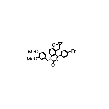 COc1ccc(Cn2c(=O)nc(-c3ccc(C(C)C)cc3)c3c(CC4CC4)c(O)ccc32)cc1OC